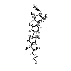 CCSC/C(F)=C(\F)c1ccc(-c2ccc(-c3cc(F)c(N=C=S)c(F)c3)c(F)c2)c(F)c1